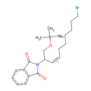 CC(C)(C)[Si](C)(C)OCC(/C=C\CCCCCCBr)N1C(=O)c2ccccc2C1=O